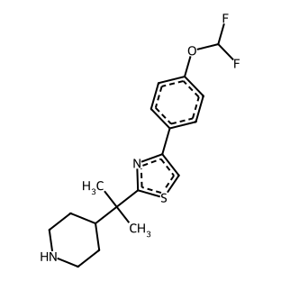 CC(C)(c1nc(-c2ccc(OC(F)F)cc2)cs1)C1CCNCC1